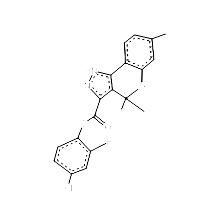 CC1(C)Oc2cc(I)ccc2-c2[nH]nc(C(=O)Oc3ccc(Cl)cc3F)c21